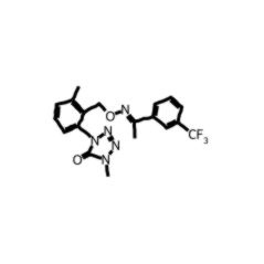 CC(=NOCc1c(C)cccc1-n1nnn(C)c1=O)c1cccc(C(F)(F)F)c1